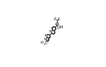 Cn1cc2cc(-c3ccc4cc(C5(O)CC(C(F)F)C5)ccc4n3)cnc2n1